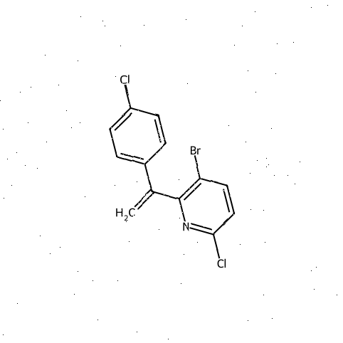 C=C(c1ccc(Cl)cc1)c1nc(Cl)ccc1Br